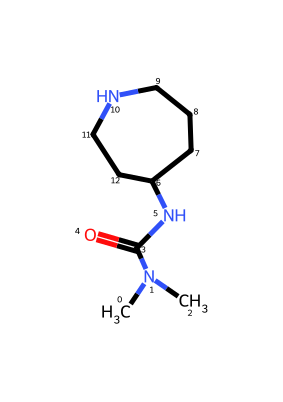 CN(C)C(=O)NC1CCCNCC1